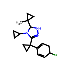 CC1(C2NN=C(C3(C4=CCC(F)C=C4)CC3)N2C2CC2)CC1